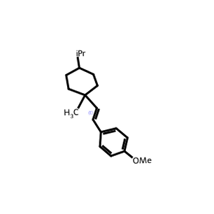 COc1ccc(/C=C/C2(C)CCC(C(C)C)CC2)cc1